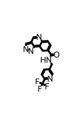 O=C(NCc1ccc(C(F)(F)F)nc1)C1=CC=c2ncc3c(c2C1)N=NC=3